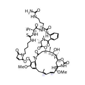 COc1cc2cc(c1Cl)N(C)C(=O)C[C@H](OC(=O)[C@H](C)N(C)C(=O)c1ccccc1NC(=O)[C@H](CCCNC(N)=O)NC(=O)[C@@H](NC(=S)NCCCCN1C(=O)C=CC1=O)C(C)C)[C@@H](C)[C@@H](O)[C@H](C)[C@@H]1C[C@@](O)(NC(=O)O1)[C@H](OC)/C=C/C=C(\C)C2